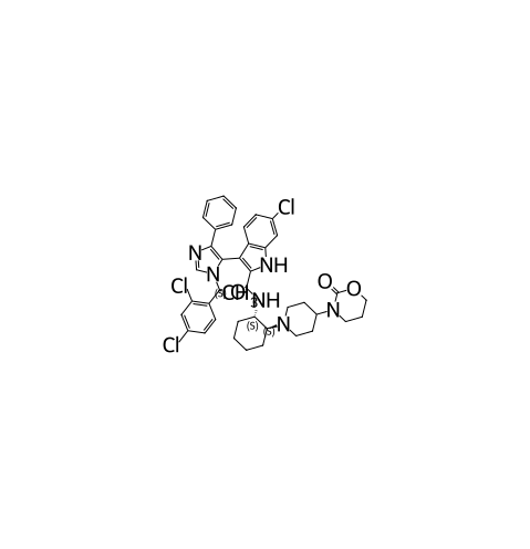 C[C@@H](c1ccc(Cl)cc1Cl)n1cnc(-c2ccccc2)c1-c1c(C(=O)N[C@H]2CCCC[C@@H]2N2CCC(N3CCCOC3=O)CC2)[nH]c2cc(Cl)ccc12